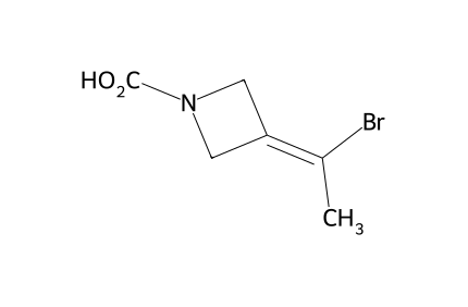 CC(Br)=C1CN(C(=O)O)C1